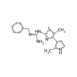 Cc1[nH]ccc1-c1nc(NC(N)=NCc2ccccc2)sc1C